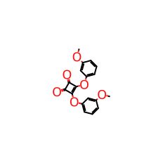 COc1cccc(Oc2c(Oc3cccc(OC)c3)c(=O)c2=O)c1